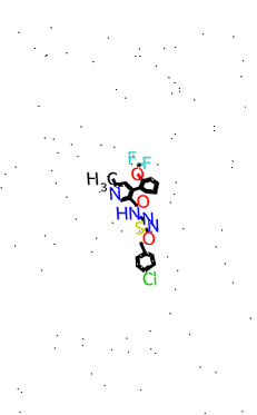 Cc1cc(-c2ccccc2OC(F)F)c(C(=O)Nc2nnc(OCc3ccc(Cl)cc3)s2)cn1